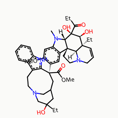 CCC(=O)[C@@]1(O)[C@H]2N(C)c3cc(OC)c([C@]4(C(=O)OC)CC5CN(CCc6c4[nH]c4ccccc64)CC(O)(CC)C5)cc3[C@]23CCN2CC=C[C@@](CC)([C@@H]23)[C@@H]1O